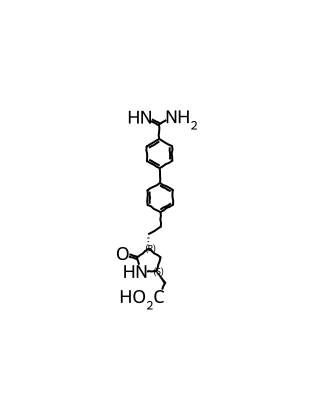 N=C(N)c1ccc(-c2ccc(CC[C@@H]3C[C@@H](CC(=O)O)NC3=O)cc2)cc1